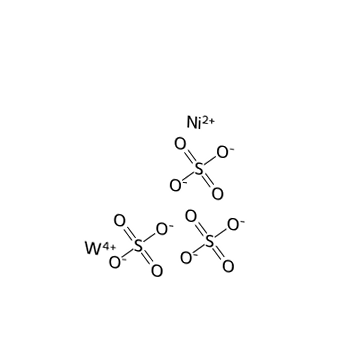 O=S(=O)([O-])[O-].O=S(=O)([O-])[O-].O=S(=O)([O-])[O-].[Ni+2].[W+4]